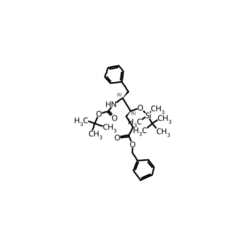 CC(C)(C)OC(=O)N[C@@H](Cc1ccccc1)[C@H](CCC(=O)OCc1ccccc1)O[Si](C)(C)C(C)(C)C